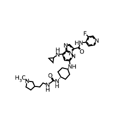 CN1CCC(CCNC(=O)N[C@H]2CC[C@H](Nc3cc(NC4CC4)c4ncc(C(=O)Nc5ccncc5F)n4n3)CC2)C1